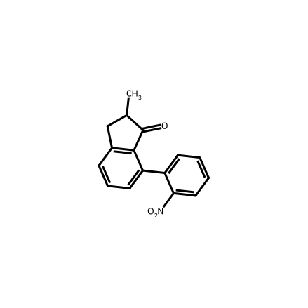 CC1Cc2cccc(-c3ccccc3[N+](=O)[O-])c2C1=O